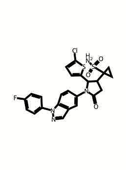 NS(=O)(=O)C1(C2CC(=O)N(c3ccc4c(cnn4-c4ccc(F)cc4)c3)C2c2ccc(Cl)s2)CC1